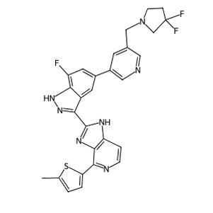 Cc1ccc(-c2nccc3[nH]c(-c4n[nH]c5c(F)cc(-c6cncc(CN7CCC(F)(F)C7)c6)cc45)nc23)s1